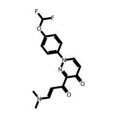 CN(C)/C=C/C(=O)c1nn(-c2ccc(OC(F)F)cc2)ccc1=O